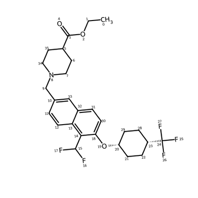 CCOC(=O)C1CCN(Cc2ccc3c(C(F)F)c(O[C@H]4CC[C@@H](C(F)(F)F)CC4)ccc3c2)CC1